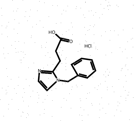 Cl.O=C(O)CCc1nccn1Cc1ccccc1